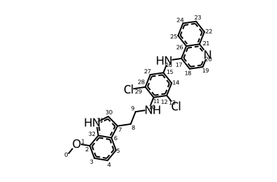 COc1cccc2c(CCNc3c(Cl)cc(Nc4ccnc5ccccc45)cc3Cl)c[nH]c12